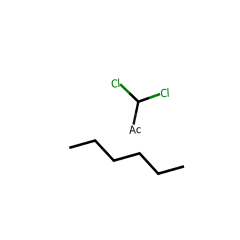 CC(=O)C(Cl)Cl.CCCCCC